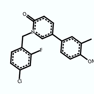 COc1ccc(-c2ccc(=O)n(Cc3ccc(Cl)cc3F)c2)cc1C